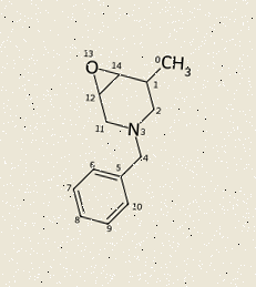 CC1CN(Cc2ccccc2)CC2OC12